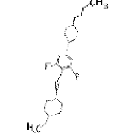 CCCC[C@H]1CC[C@H](c2cc(F)c(C#CC3CCC(CC)CC3)c(F)c2)CC1